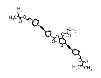 C=CC(=O)Oc1cc(C#Cc2ccc(COC(=O)C(=C)C)cc2)c(F)c(F)c1OC(=O)c1ccc(C#Cc2ccc(/C=C/OC(=O)C(=C)C)cc2)cc1